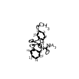 COc1cccc(S(=O)(=O)Oc2ccccc2NC(N)=O)c1